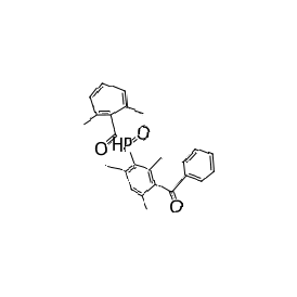 Cc1cccc(C)c1C(=O)[PH](=O)c1c(C)cc(C)c(C(=O)c2ccccc2)c1C